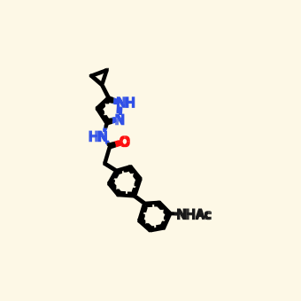 CC(=O)Nc1cccc(-c2ccc(CC(=O)Nc3cc(C4CC4)[nH]n3)cc2)c1